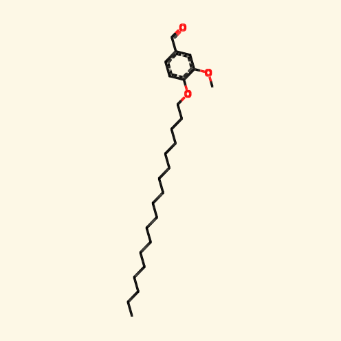 CCCCCCCCCCCCCCCCCCOc1ccc(C=O)cc1OC